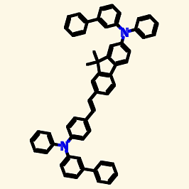 CC1(C)c2cc(/C=C/c3ccc(N(c4ccccc4)c4cccc(-c5ccccc5)c4)cc3)ccc2-c2ccc(N(c3ccccc3)c3cccc(-c4ccccc4)c3)cc21